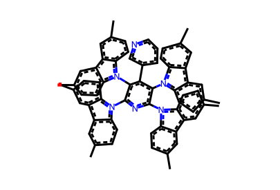 Cc1ccc2c(c1)c1cc(C)ccc1n2-c1nc(-n2c3ccc(C)cc3c3cc(C)ccc32)c(-n2c3ccc(C)cc3c3cc(C)ccc32)c(-c2cccnc2)c1-n1c2ccc(C)cc2c2cc(C)ccc21